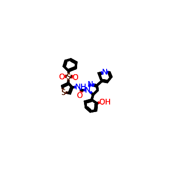 O=C(Nc1cscc1S(=O)(=O)c1ccccc1)N1N=C(c2cccnc2)CC1c1ccccc1O